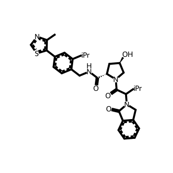 Cc1ncsc1-c1ccc(CNC(=O)[C@@H]2C[C@@H](O)CN2C(=O)C(C(C)C)N2Cc3ccccc3C2=O)c(C(C)C)c1